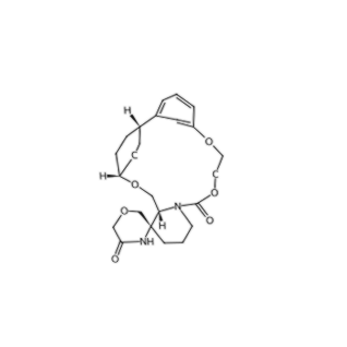 O=C1COC[C@@]2(CCCN3C(=O)OCCOc4cccc(c4)[C@H]4CC[C@H](CC4)OC[C@H]32)N1